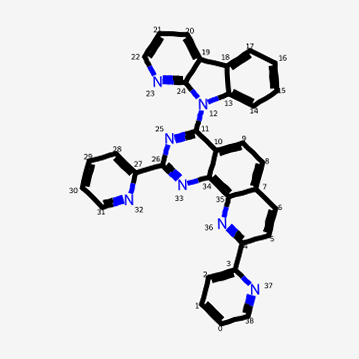 c1ccc(-c2ccc3ccc4c(-n5c6ccccc6c6cccnc65)nc(-c5ccccn5)nc4c3n2)nc1